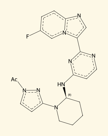 CC(=O)n1ccc(N2CCCC[C@@H]2Nc2ccnc(-c3cnc4ccc(F)cn34)n2)n1